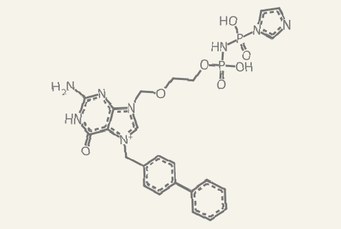 Nc1nc2c(c(=O)[nH]1)[n+](Cc1ccc(-c3ccccc3)cc1)cn2COCCOP(=O)(O)NP(=O)(O)n1ccnc1